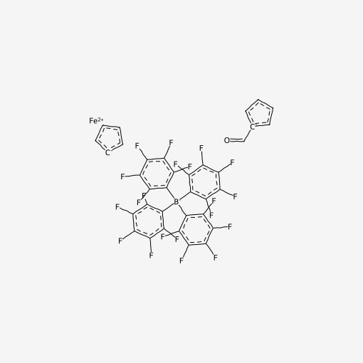 Fc1c(F)c(F)c([B-](c2c(F)c(F)c(F)c(F)c2F)(c2c(F)c(F)c(F)c(F)c2F)c2c(F)c(F)c(F)c(F)c2F)c(F)c1F.O=C[c-]1cccc1.[Fe+2].c1cc[cH-]c1